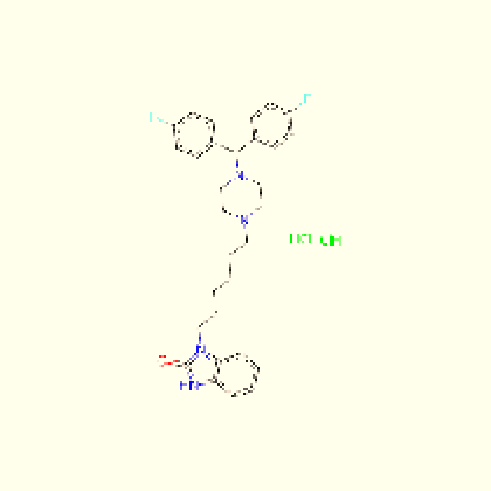 Cl.Cl.O=c1[nH]c2ccccc2n1CCCCCCN1CCN(C(c2ccc(F)cc2)c2ccc(F)cc2)CC1